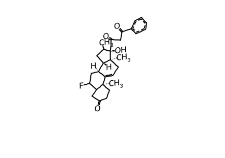 CC1C[C@H]2[C@@H]3CC(F)C4CC(=O)CC[C@]4(C)C3=CC[C@]2(C)[C@@]1(O)C(=O)CC(=O)c1ccccc1